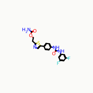 NC(=O)OCCc1ncc(-c2ccc(NC(=O)Nc3cc(F)cc(F)c3)cc2)s1